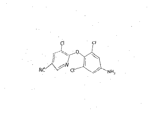 N#Cc1cnc(Oc2c(Cl)cc(N)cc2Cl)c(Cl)c1